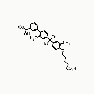 CCC(CC)(c1ccc(OCCCCC(=O)O)c(C)c1)c1ccc(-c2cccc(C(O)C(C)(C)C)c2)c(C)c1